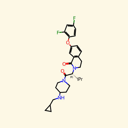 CC(C)[C@H](C(=O)N1CCC(NCC2CC2)CC1)N1CCc2ccc(Oc3ccc(F)cc3F)cc2C1=O